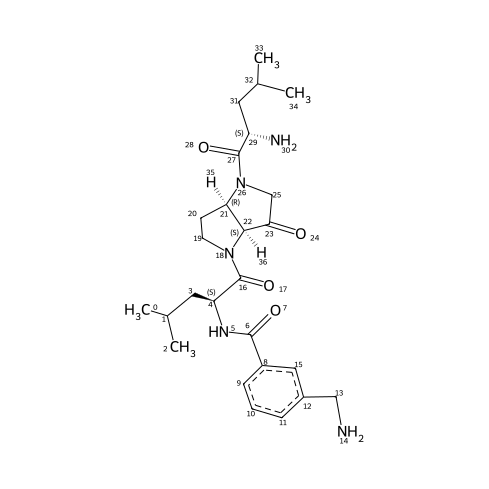 CC(C)C[C@H](NC(=O)c1cccc(CN)c1)C(=O)N1CC[C@@H]2[C@H]1C(=O)CN2C(=O)[C@@H](N)CC(C)C